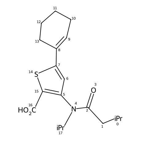 CC(C)CC(=O)N(c1cc(C2=CCCCC2)sc1C(=O)O)C(C)C